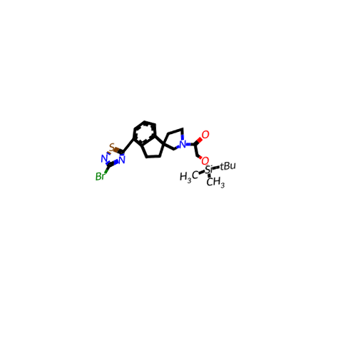 CC(C)(C)[Si](C)(C)OCC(=O)N1CCC2(CCc3c(-c4nc(Br)ns4)cccc32)C1